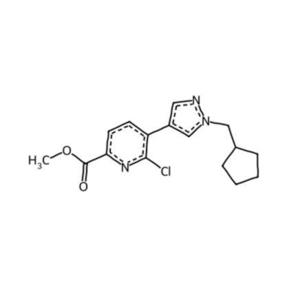 COC(=O)c1ccc(-c2cnn(CC3CCCC3)c2)c(Cl)n1